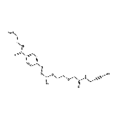 CCC#CCNC(=O)COCCOC(SSc1ccc(C(=O)NCCNC)cc1)C(C)C